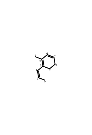 C/C=C\C1=C(C)C=CCC1